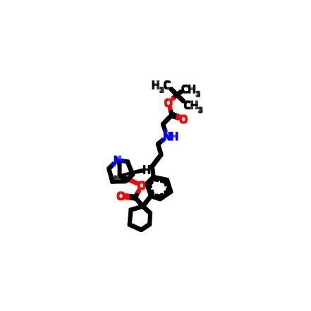 CC(C)(C)OC(=O)CNCCCc1cccc(C2(C(=O)O[C@H]3CN4CCC3CC4)CCCCC2)c1